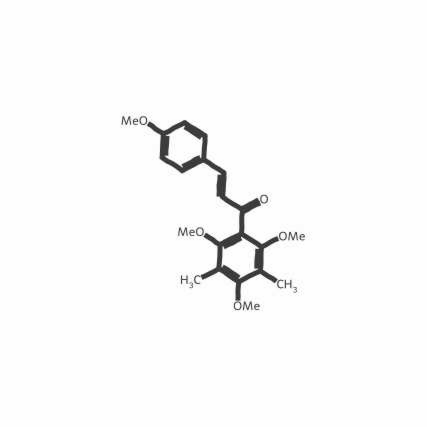 COc1ccc(C=CC(=O)c2c(OC)c(C)c(OC)c(C)c2OC)cc1